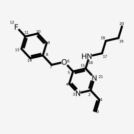 C=Cc1ncc(OCc2ccc(F)cc2)c(NCCCC)n1